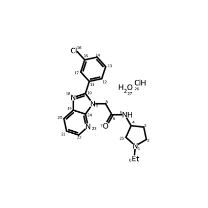 CCN1CCC(NC(=O)Cn2c(-c3cccc(Cl)c3)nc3cccnc32)C1.Cl.O